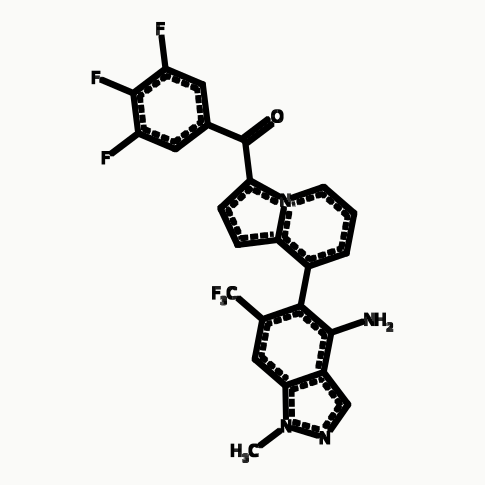 Cn1ncc2c(N)c(-c3cccn4c(C(=O)c5cc(F)c(F)c(F)c5)ccc34)c(C(F)(F)F)cc21